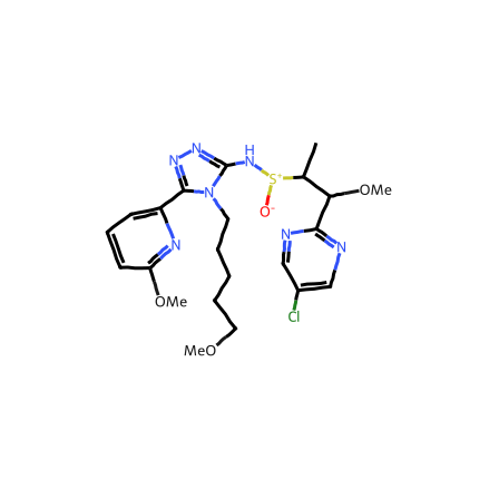 COCCCCCn1c(N[S+]([O-])C(C)C(OC)c2ncc(Cl)cn2)nnc1-c1cccc(OC)n1